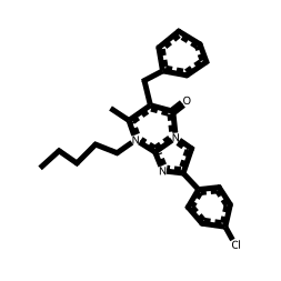 CCCCCn1c(C)c(Cc2ccccc2)c(=O)n2cc(-c3ccc(Cl)cc3)nc12